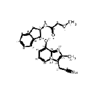 COCC(=O)O[C@@H]1Cc2ccccc2[C@H]1Oc1cccn2c(CC#N)c(C)nc12